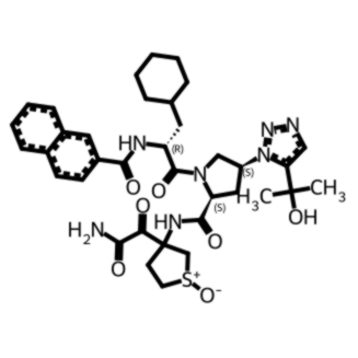 CC(C)(O)c1cnnn1[C@H]1C[C@@H](C(=O)NC2(C(=O)C(N)=O)CC[S+]([O-])C2)N(C(=O)[C@@H](CC2CCCCC2)NC(=O)c2ccc3ccccc3c2)C1